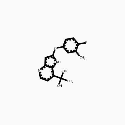 Cc1cc(Oc2cc3nccc(C(C)(O)O)c3[nH]2)ccc1F